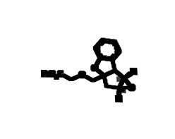 CCOC(=O)COCC12C[C@H]3O[C@H]3C1c1ccccc1O2